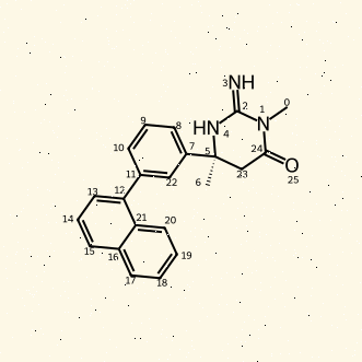 CN1C(=N)N[C@](C)(c2cccc(-c3cccc4ccccc34)c2)CC1=O